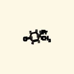 CC(C)C1(C)C=CC(=O)CC1